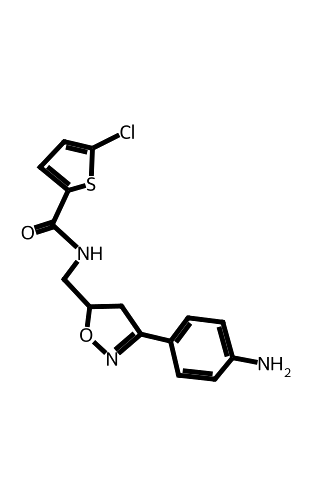 Nc1ccc(C2=NOC(CNC(=O)c3ccc(Cl)s3)C2)cc1